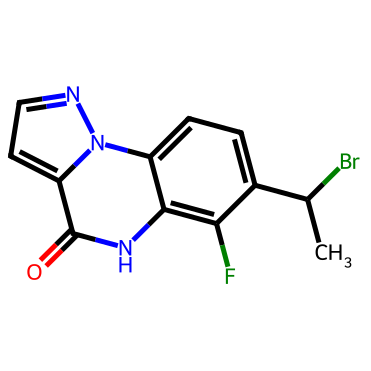 CC(Br)c1ccc2c([nH]c(=O)c3ccnn32)c1F